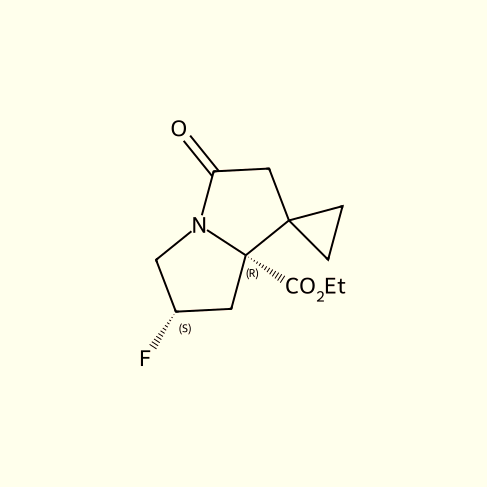 CCOC(=O)[C@]12C[C@H](F)CN1C(=O)CC21CC1